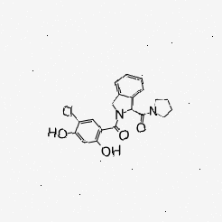 O=C([C@@H]1c2ccccc2CN1C(=O)c1cc(Cl)c(O)cc1O)N1CCCC1